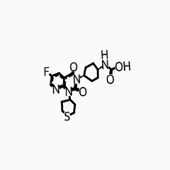 O=C(O)N[C@H]1CC[C@@H](n2c(=O)c3cc(F)cnc3n(C3CCSCC3)c2=O)CC1